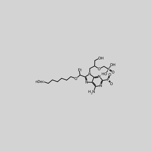 CCCCCCCCCCCCCCCCOC(CC)c1nc2c(N)nc(P(=O)=O)nc2n1CC(CO)OCP(=O)(O)O